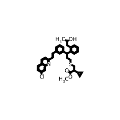 COC(=O)C(CSCCC(c1cccc(/C=C/c2ccc3ccc(Cl)cc3n2)c1)c1ccccc1CC(C)O)C1CC1